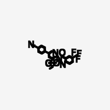 CCS(=O)(=O)c1cc(-c2ccc(C#N)cc2)cnc1-n1cnc2ccc(C(F)(F)F)cc2c1=O